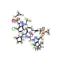 CC(C)(C#Cc1ccc(-c2ccc(Cl)c3c(NS(=O)(=O)CC4CC4)nn(CC(F)F)c23)c([C@H](Cc2cc(F)cc(F)c2)NC(=O)Cn2nc(C(F)F)c3c2C(F)(F)[C@@H]2CC[C@H]32)n1)S(=O)(=O)C1CC1